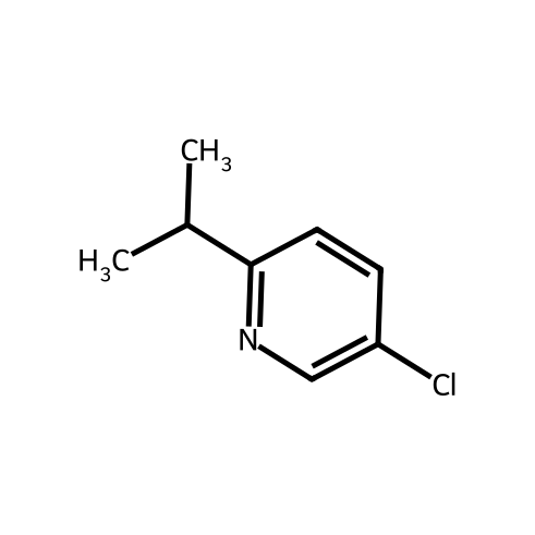 CC(C)c1ccc(Cl)cn1